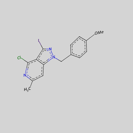 COc1ccc(Cn2nc(I)c3c(Cl)nc(C)cc32)cc1